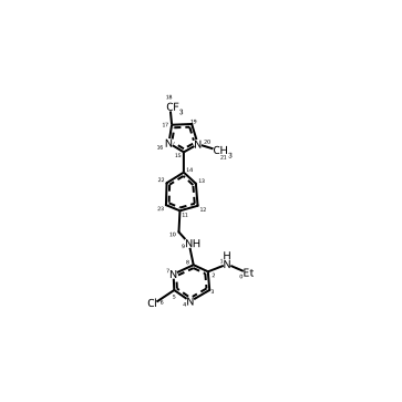 CCNc1cnc(Cl)nc1NCc1ccc(-c2nc(C(F)(F)F)cn2C)cc1